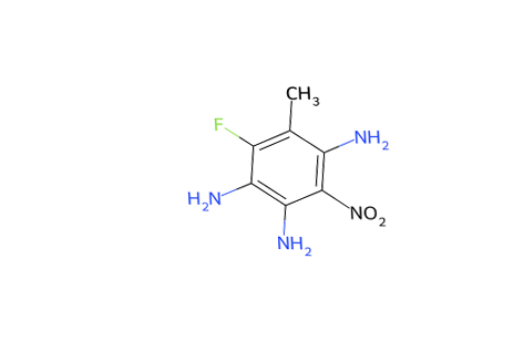 Cc1c(N)c([N+](=O)[O-])c(N)c(N)c1F